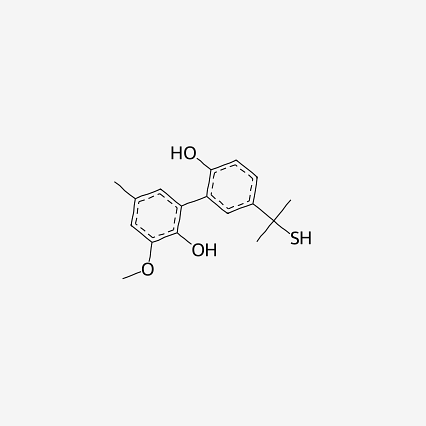 COc1cc(C)cc(-c2cc(C(C)(C)S)ccc2O)c1O